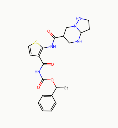 CCC(OC(=O)NC(=O)c1ccsc1NC(=O)C1CNC2CCNN2C1)c1ccccc1